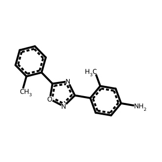 Cc1cc(N)ccc1-c1noc(-c2ccccc2C)n1